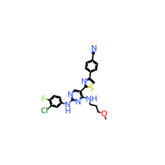 COCCCNc1nc(Nc2ccc(F)c(Cl)c2)ncc1-c1nc(-c2ccc(C#N)cc2)cs1